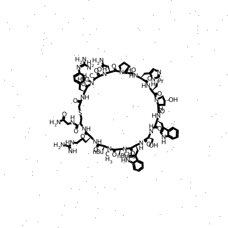 CCCC[C@H]1C(=O)N(C)[C@@H](CCCC)C(=O)N[C@@H](CCCNC(=N)N)C(=O)N[C@H](C(=O)NCC(N)=O)CSCC(=O)N[C@@H](Cc2ccc(N=C(N)N)cc2)C(=O)N(C)[C@@H](C)C(=O)N[C@@H](CC(N)=O)C(=O)N2CCC[C@H]2C(=O)N[C@@H](Cc2cnc[nH]2)C(=O)N[C@@H](CC(C)C)C(=O)N2C[C@H](O)C[C@H]2C(=O)N[C@@H](Cc2c[nH]c3ccccc23)C(=O)N[C@@H](CO)C(=O)N[C@@H](Cc2c[nH]c3ccccc23)C(=O)N1C